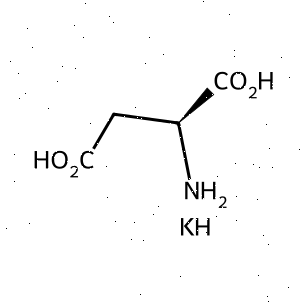 N[C@@H](CC(=O)O)C(=O)O.[KH]